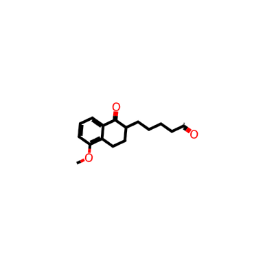 COc1cccc2c1CCC(CCCC[C]=O)C2=O